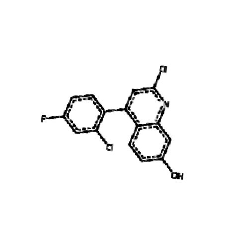 Oc1ccc2c(-c3ccc(F)cc3Cl)cc(Cl)nc2c1